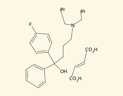 CC(C)CN(CCCC(O)(c1ccccc1)c1ccc(F)cc1)CC(C)C.O=C(O)C=CC(=O)O